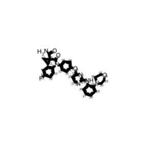 NC(=O)C1(C(=O)N(c2ccc(F)cc2)c2ccc(Oc3ccnc(Nc4ccccc4N4CCOCC4)n3)cc2)CC1